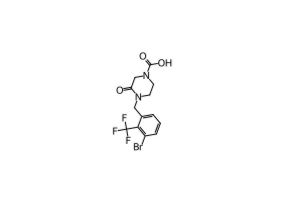 O=C(O)N1CCN(Cc2cccc(Br)c2C(F)(F)F)C(=O)C1